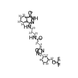 O=C(CCc1nc(-c2cccc(COC(F)F)c2)no1)NCCCNc1n[nH]c(=O)c2ccccc12